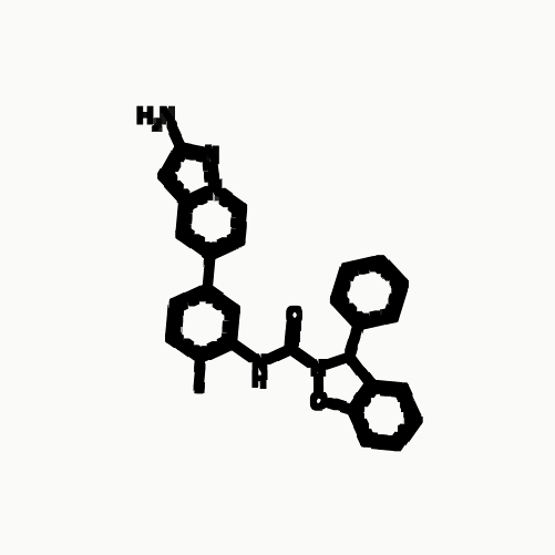 Cc1ccc(-c2ccn3nc(N)cc3c2)cc1NC(=O)N1Oc2ccccc2C1c1ccccc1